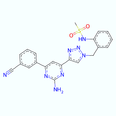 CS(=O)(=O)Nc1ccccc1Cn1cc(-c2cc(-c3cccc(C#N)c3)nc(N)n2)nn1